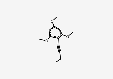 CCC#Cc1c(OC)cc(OC)cc1OC